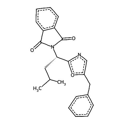 CC(C)C[C@@H](c1ncc(Cc2ccccc2)o1)N1C(=O)c2ccccc2C1=O